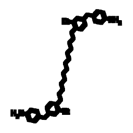 CCc1cc(Cc2ccc(N)cc2)ccc1CCCCCCCCCCCCCCc1ccc(Cc2ccc(N)cc2)cc1CC